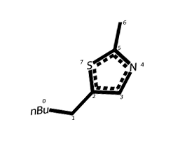 [CH2]CCCCc1cnc(C)s1